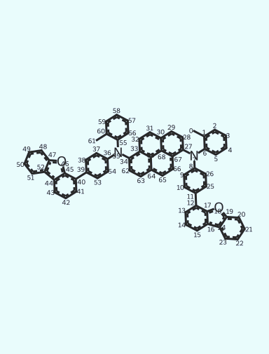 Cc1ccccc1N(c1ccc(-c2cccc3c2oc2ccccc23)cc1)c1ccc2ccc3c(N(c4ccc(-c5cccc6c5oc5ccccc56)cc4)c4ccccc4C)ccc4ccc1c2c43